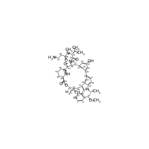 CCn1c(-c2cnccc2COC)c2c3cc(ccc31)-c1cc(O)cc(c1)C[C@H](NC(=O)[C@H](C(C)C)N(C)C(=O)CCN)C(=O)N1CCCC(C=O)(COCC(C)(C)C2)N1